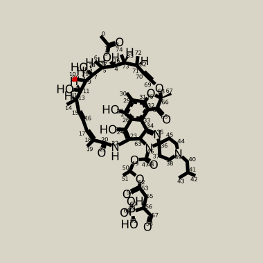 CC(=O)O[C@H]1[C@H](C)[C@H](O)[C@H](C)[C@@H](O)[C@@H](C)/C=C/C=C(/C)C(=O)NC2=C(O)c3c(O)c(C)c4c(c3C3=NC5(CCN(CC(C)C)CC5)N(C(=O)OC(C)OC(=O)CC(C=O)P(=O)(O)O)C32)C(=O)[C@@](C)(O/C=C/[C@H](C)[C@H]1C)O4